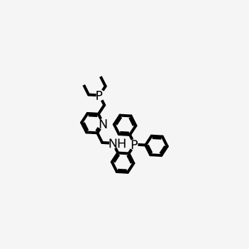 CCP(CC)Cc1cccc(CNc2ccccc2P(c2ccccc2)c2ccccc2)n1